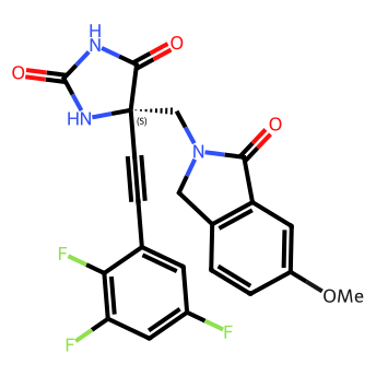 COc1ccc2c(c1)C(=O)N(C[C@]1(C#Cc3cc(F)cc(F)c3F)NC(=O)NC1=O)C2